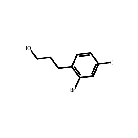 OCCCc1ccc(Cl)cc1Br